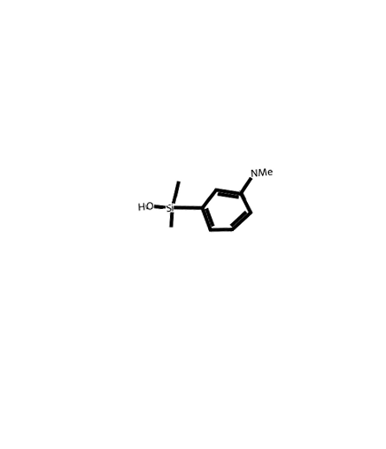 CNc1cccc([Si](C)(C)O)c1